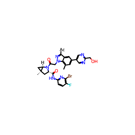 CC(=O)c1nn(CC(=O)N2[C@H](C(=O)Nc3ccc(F)c(Br)n3)C[C@@]3(C)C[C@@H]23)c2c(C)cc(-c3cnc(CO)nc3)cc12